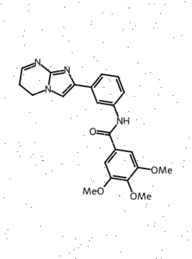 COc1cc(C(=O)Nc2cccc(-c3cn4c(n3)N=CCC4)c2)cc(OC)c1OC